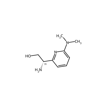 CN(C)c1cccc([C@H](N)CO)n1